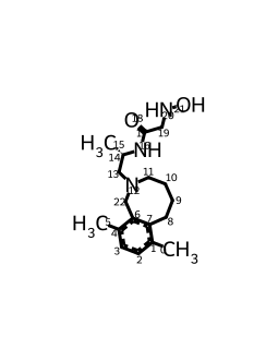 Cc1ccc(C)c2c1CCCCN(C[C@H](C)NC(=O)CNO)C2